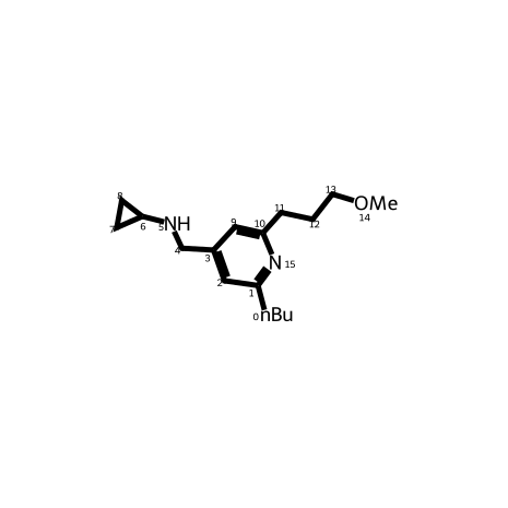 CCCCc1cc(CNC2CC2)cc(CCCOC)n1